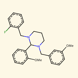 COc1cccc(CN2CCCN(Cc3ccccc3F)C2c2ccccc2OC)c1